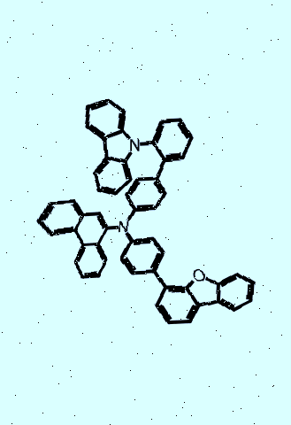 c1ccc(-n2c3ccccc3c3ccccc32)c(-c2ccc(N(c3ccc(-c4cccc5c4oc4ccccc45)cc3)c3cc4ccccc4c4ccccc34)cc2)c1